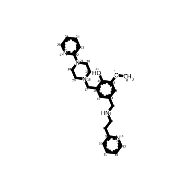 COc1cc(CNCCc2ccccn2)cc(CN2CCN(c3ccccn3)CC2)c1O